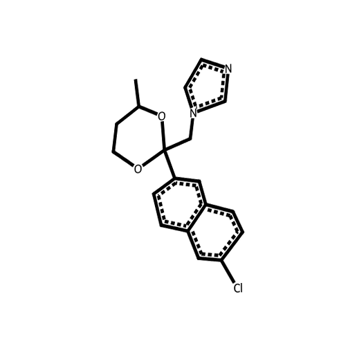 CC1CCOC(Cn2ccnc2)(c2ccc3cc(Cl)ccc3c2)O1